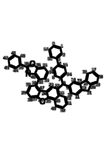 c1ccc(-c2ccc(C(c3ccc4c(c3)-c3ccccc3C4)c3cc4c(oc5cccc(-c6cccc7oc(-c8ccccc8)nc67)c54)c4ccccc34)cc2)cc1